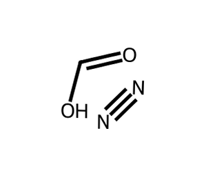 N#N.O=CO